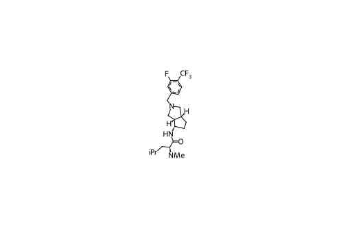 CN[C@@H](CC(C)C)C(=O)N[C@@H]1CC[C@H]2CN(Cc3ccc(C(F)(F)F)c(F)c3)C[C@H]21